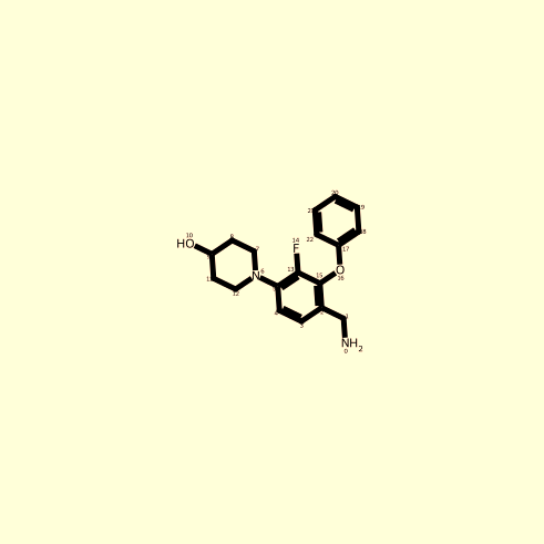 NCc1ccc(N2CCC(O)CC2)c(F)c1Oc1ccccc1